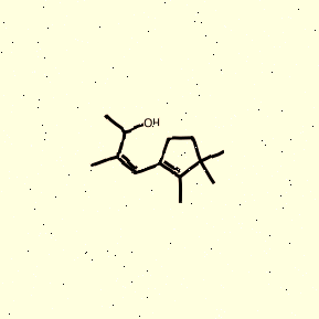 CC(=CC1=C(C)C(C)(C)CC1)C(C)O